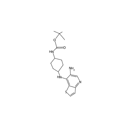 CC(C)(C)OC(=O)NC1CCC(Nc2c(N)cnc3ccsc23)CC1